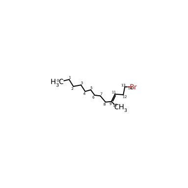 CCCCCCCCCC(C)=CCCBr